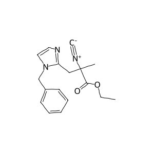 [C-]#[N+]C(C)(Cc1nccn1Cc1ccccc1)C(=O)OCC